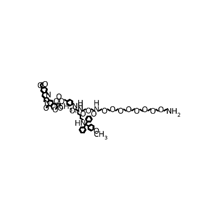 CC[C@@]1(OC(=O)OCc2ccc(NC(=O)[C@H](CCCCNC(c3ccccc3)(c3ccccc3)c3ccc(OC)cc3)NC(=O)COCC(=O)NCCOCCOCCOCCOCCOCCOCCOCCOCCN)cc2)C(=O)OCc2c1cc1n(c2=O)Cc2cc3cc4c(cc3nc2-1)OCO4